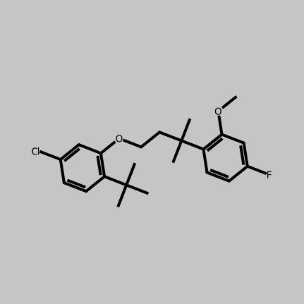 COc1cc(F)ccc1C(C)(C)CCOc1cc(Cl)ccc1C(C)(C)C